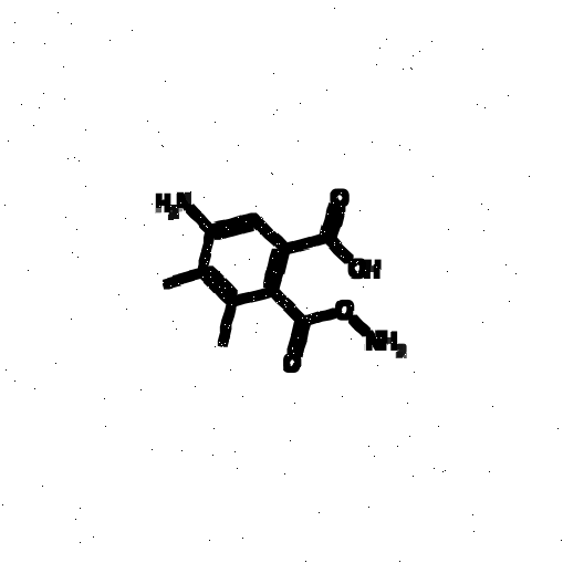 Cc1c(N)cc(C(=O)O)c(C(=O)ON)c1C